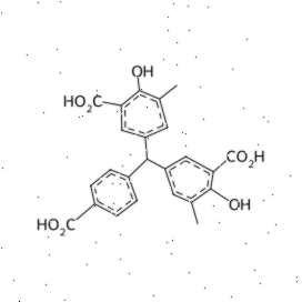 Cc1cc(C(c2ccc(C(=O)O)cc2)c2cc(C)c(O)c(C(=O)O)c2)cc(C(=O)O)c1O